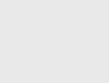 CC1=CC(CCc2ccccc2)N(C)CC1